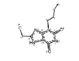 CCCCn1c(=O)[nH]c(=O)c2[nH]c(CCl)nc21